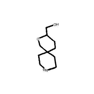 OCC1CCC2(CCNCC2)CO1